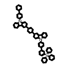 c1ccc(-c2ccc(-n3c4ccccc4c4cc(-c5ccc(-c6ccc7c(c6)c6ccccc6n7-c6ccc(-c7cccc([Si](c8ccccc8)(c8ccccc8)c8ccccc8)c7)cc6)cc5)ccc43)cc2)cc1